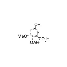 COc1cc(O)cc(C(=O)O)c1OC